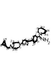 NC(c1ccc(-c2ccc(N3CCN(CC4CC4)CC3)nn2)cc1)N1CCCCC1